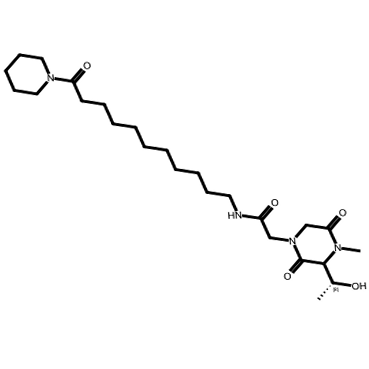 C[C@@H](O)C1C(=O)N(CC(=O)NCCCCCCCCCCC(=O)N2CCCCC2)CC(=O)N1C